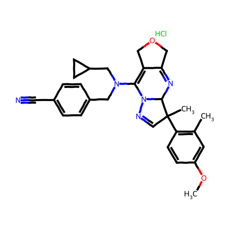 COc1ccc(C2(C)C=NN3C(N(Cc4ccc(C#N)cc4)CC4CC4)=C4COCC4=NC32)c(C)c1.Cl